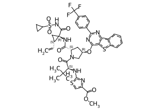 C=C[C@@H]1C[C@]1(NC(=O)[C@@H]1C[C@@H](Oc2nc(-c3ccc(C(F)(F)F)cc3)nc3c2sc2ccccc23)CN1C(=O)[C@@H](Nc1nc(C(=O)OC)cs1)C(C)(C)C)C(=O)NS(=O)(=O)C1CC1